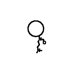 CN(C)CCCN(C=O)C1CCCCCCCCCCCCCC1